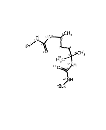 CC(C)NC(=O)NC(C)CCC(C)(C)NC(=O)NC(C)(C)C